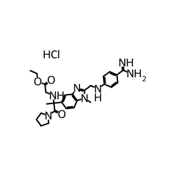 CCOC(=O)CNC(C)(C(=O)N1CCCC1)c1ccc2c(c1)nc(CNc1ccc(C(=N)N)cc1)n2C.Cl